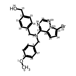 COc1ccc(CN(Cc2ccc(CO)cc2)c2ncnn3c(Br)ccc23)cc1